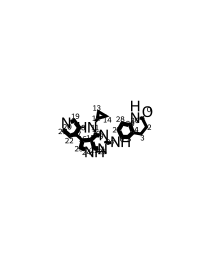 O=C1CCc2cc(Nc3nc(NC4CC4)c4c(-c5ccncc5)c[nH]c4n3)ccc2N1